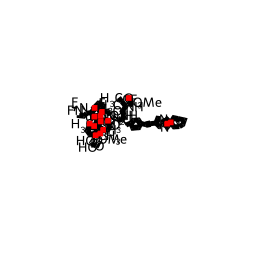 COC(=O)N[C@H](C(=O)N[C@@H](Cc1ccc(C#Cc2cnc(N3CC4CCC(C3)N4C3COC3)nc2)cc1)[C@H](CN(Cc1c(F)cc(-c2ccn(C(F)F)n2)cc1F)NC(=O)[C@@H](NC(=O)OC)C(C)(C)C(F)(F)F)OC(=O)CC(C)(C)c1c(CC(=O)N2CCC[C@H]2C(=O)O)cccc1OP(=O)(O)O)C(C)(C)C(F)(F)F